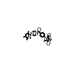 Cc1cc(C)c(N2CCN(C(=O)c3ccc(N4C(=O)N(C)C(=O)C4C)cc3)CC2)nc1C